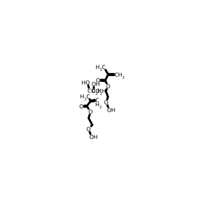 C=C(C)C(=O)OCCOO.C=C(C)C(=O)OCCOO.O=C(O)O.O=C(O)O